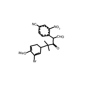 COC1=CCC(C(C)(C)C(=O)C(C=O)c2ccc(C#N)cc2[N+](=O)[O-])C=C1Br